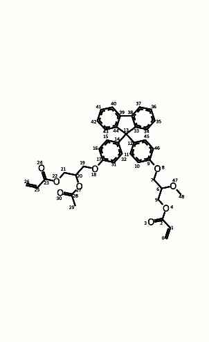 C=CC(=O)OCC(COc1ccc(C2(c3ccc(OCC(COC(=O)C=C)OC(C)=O)cc3)c3ccccc3-c3ccccc32)cc1)OC